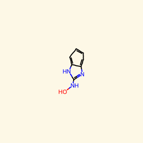 ONc1nc2ccccc2[nH]1